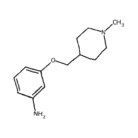 CN1CCC(COc2cccc(N)c2)CC1